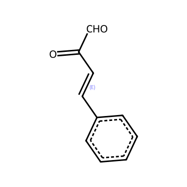 O=CC(=O)/C=C/c1ccccc1